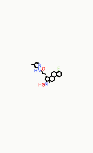 Cc1ccnc(NC(=O)CC[C@@H]2C/C(=N\O)[C@@]3(C)CCC4c5cccc(F)c5CCC4C23)c1